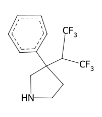 FC(F)(F)C(C(F)(F)F)C1(c2ccccc2)CCNC1